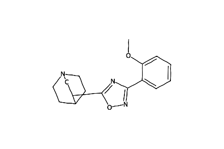 COc1ccccc1-c1noc(C2CN3CCC2CC3)n1